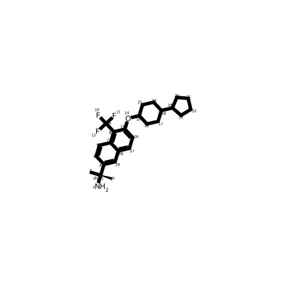 [CH2][C@](C)(N)c1ccc2c(C(F)(F)F)c(OC3CCC(C4CCCC4)CC3)ccc2c1